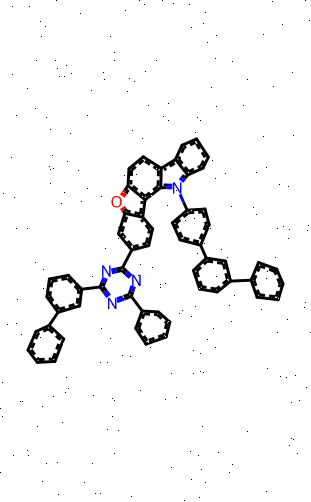 c1ccc(-c2cccc(-c3ccc(-n4c5ccccc5c5ccc6oc7cc(-c8nc(-c9ccccc9)nc(-c9cccc(-c%10ccccc%10)c9)n8)ccc7c6c54)cc3)c2)cc1